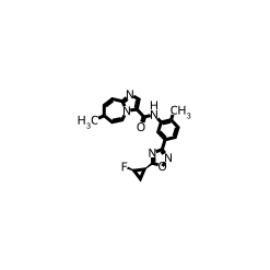 Cc1ccc(-c2noc([C@H]3C[C@H]3F)n2)cc1NC(=O)c1cnc2n1C=CC(C)C=C2